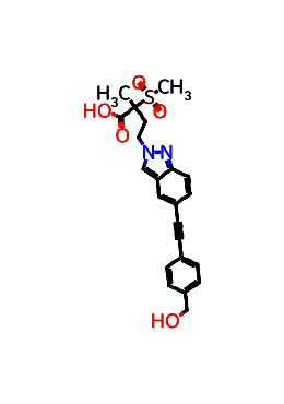 CC(CCn1cc2cc(C#Cc3ccc(CO)cc3)ccc2n1)(C(=O)O)S(C)(=O)=O